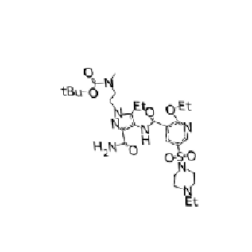 CCOc1ncc(S(=O)(=O)N2CCN(CC)CC2)cc1C(=O)Nc1c(C(N)=O)nn(CCN(C)C(=O)OC(C)(C)C)c1CC